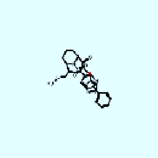 COCC1CN(Cc2cnn[nH]2)C(=O)C2CCCC1N2S(=O)(=O)c1ccc(-c2ccccc2)nc1